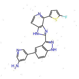 Nc1cncc(-c2ccc3[nH]nc(-c4nc5c(-c6ccc(F)s6)nccc5[nH]4)c3c2)c1